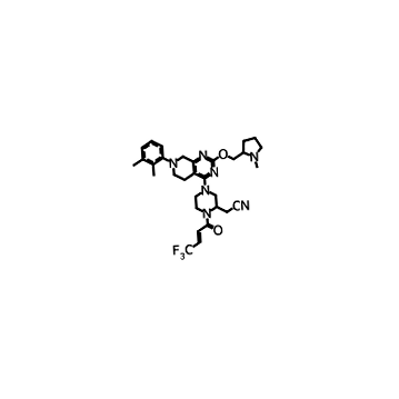 Cc1cccc(N2CCc3c(nc(OCC4CCCN4C)nc3N3CCN(C(=O)/C=C/C(F)(F)F)C(CC#N)C3)C2)c1C